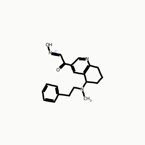 CN(CCc1ccccc1)C1CCCc2ncc(C(=O)/C=N/O)cc21